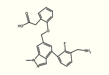 Cn1ncc2c(-c3cccc(CN)c3F)cc(COc3ccccc3CC(=O)O)cc21